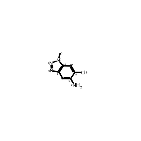 Cn1nnc2cc(N)c(Cl)cc21